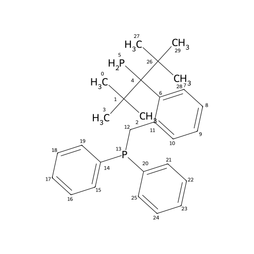 CC(C)(C)C(P)(c1ccccc1CP(c1ccccc1)c1ccccc1)C(C)(C)C